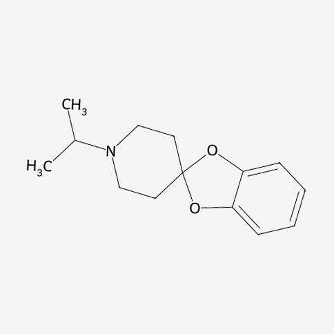 CC(C)N1CCC2(CC1)Oc1ccccc1O2